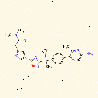 Cc1nc(N)ccc1-c1ccc(C(C)(c2noc(-c3cnn(CC(=O)N(C)C)c3)n2)C2CC2)cc1